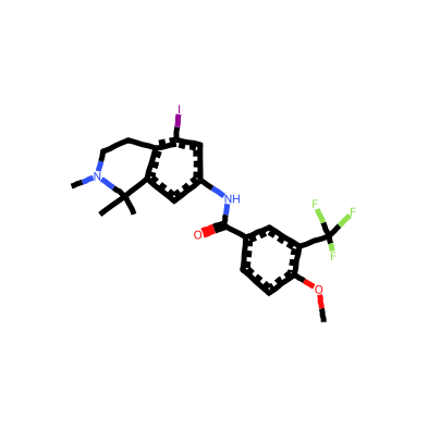 COc1ccc(C(=O)Nc2cc(I)c3c(c2)C(C)(C)N(C)CC3)cc1C(F)(F)F